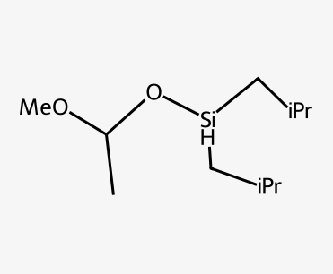 COC(C)O[SiH](CC(C)C)CC(C)C